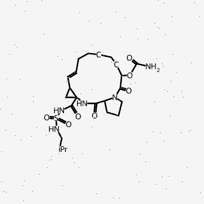 CC(C)CNS(=O)(=O)NC(=O)C12CC1/C=C/CCCCCC(OC(N)=O)C(=O)N1CCCC1C(=O)N2